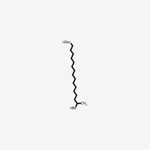 CCCCCCCCCCCCCCCCCCCCCCCCC(C)CCCC